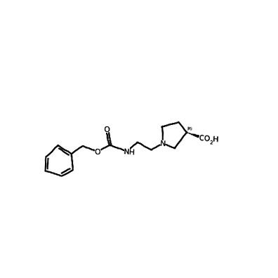 O=C(NCCN1CC[C@@H](C(=O)O)C1)OCc1ccccc1